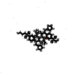 CCCCS(=O)(=O)c1ccc(C(CC2CCCC2)C(=O)N(C(=O)NC)N(C(=O)NC)C(=O)C(CC2CCCC2)c2ccc(S(=O)(=O)CC)cc2)cc1